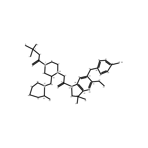 C=C(CC(C)(C)C)N1CCN(CC(=C)N2CC(C)(C)c3nc(CC)c(Cc4ccc(F)cc4)cc32)C(CN2CCCCC2C)C1